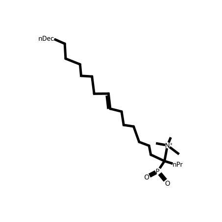 CCCCCCCCCCCCCCCCC=CCCCCCCC(CCC)(P(=O)=O)[N+](C)(C)C